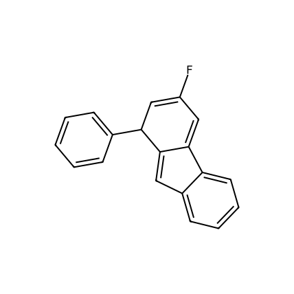 FC1=CC(c2ccccc2)C2=Cc3ccccc3C2=C1